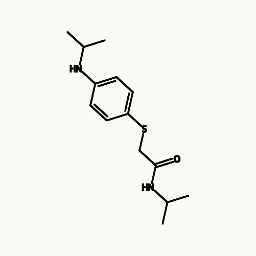 CC(C)NC(=O)CSc1ccc(NC(C)C)cc1